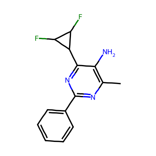 Cc1nc(-c2ccccc2)nc(C2C(F)C2F)c1N